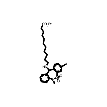 CCOC(=O)CCCCCCCCCCNC1c2ccccc2N(C)S(=O)(=O)c2cc(I)ccc21